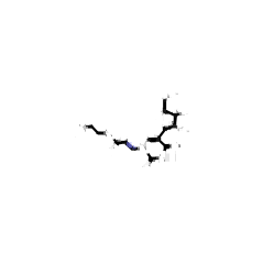 NCCNC(=O)/C=C/n1cc(C2OC(CO)C(O)C2O)c(=O)[nH]c1=O